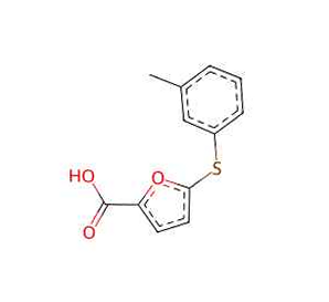 Cc1cccc(Sc2ccc(C(=O)O)o2)c1